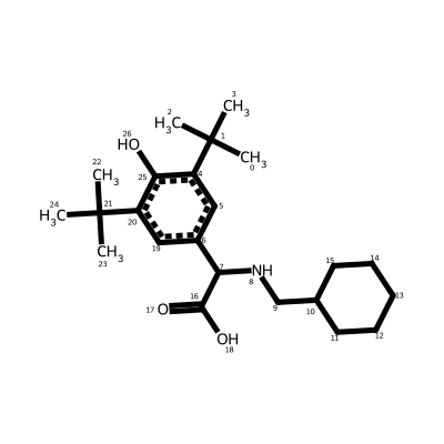 CC(C)(C)c1cc(C(NCC2CCCCC2)C(=O)O)cc(C(C)(C)C)c1O